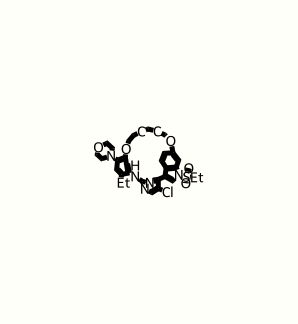 CCc1cc(N2CCOCC2)c2cc1Nc1ncc(Cl)c(n1)-c1cn(S(=O)(=O)CC)c3cc(ccc13)OCCCCCCO2